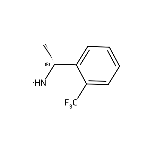 C[C@@H]([NH])c1ccccc1C(F)(F)F